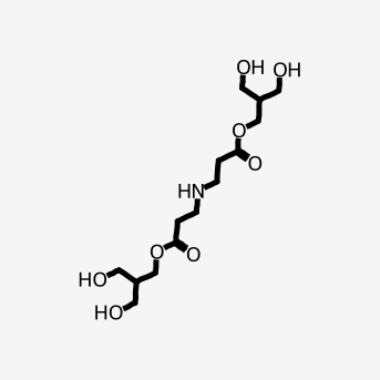 O=C(CCNCCC(=O)OCC(CO)CO)OCC(CO)CO